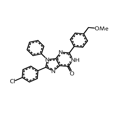 COCc1ccc(-c2nc3c(nc(-c4ccc(Cl)cc4)n3-c3ccccc3)c(=O)[nH]2)cc1